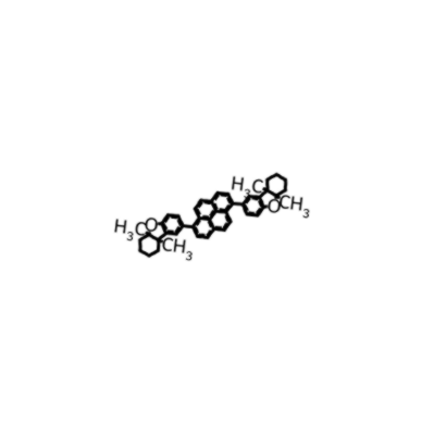 CC12CCCCC1(C)c1cc(-c3ccc4ccc5c(-c6ccc7c(c6)C6(C)CCCCC6(C)O7)ccc6ccc3c4c65)ccc1O2